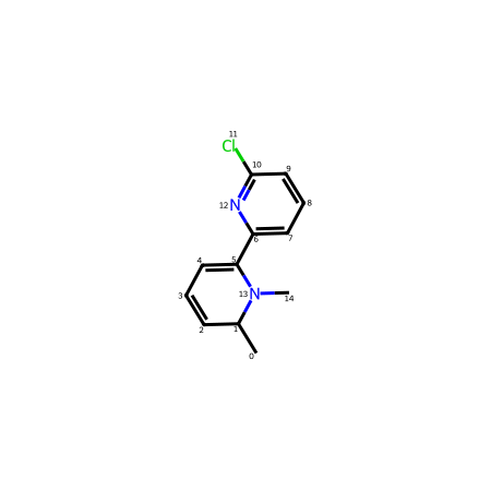 CC1C=CC=C(c2cccc(Cl)n2)N1C